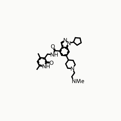 CNCCN1CCC(c2cc(C(=O)NCc3c(C)cc(C)[nH]c3=O)c3cnn(C4CCCC4)c3c2)CC1